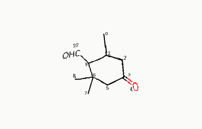 CC1CC(=O)CC(C)(C)C1C=O